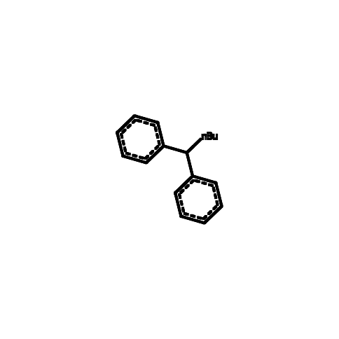 [CH2]CCCC(c1ccccc1)c1ccccc1